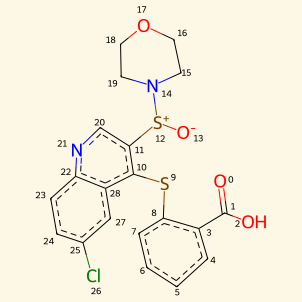 O=C(O)c1ccccc1Sc1c([S+]([O-])N2CCOCC2)cnc2ccc(Cl)cc12